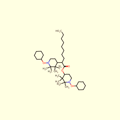 CC1(C)C(OC(=O)C(CCCCCCCC(=O)O)C2CCN(OC3CCCCC3)C(C)(C)C2(C)C)CCN(OC2CCCCC2)C1(C)C